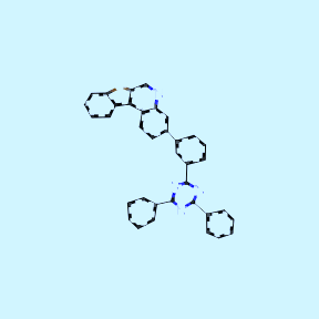 c1ccc(-c2nc(-c3ccccc3)nc(-c3cccc(-c4ccc5c(c4)ncc4sc6ccccc6c45)c3)n2)cc1